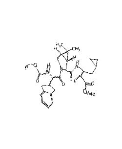 COC(=O)C(=O)C(CC1CC1)NC(=O)[C@@H]1[C@@H]2[C@H](CN1C(=O)[C@@H](NC(=O)OC(C)C)C1Cc3ccccc3C1)C2(C)C